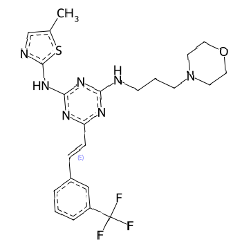 Cc1cnc(Nc2nc(/C=C/c3cccc(C(F)(F)F)c3)nc(NCCCN3CCOCC3)n2)s1